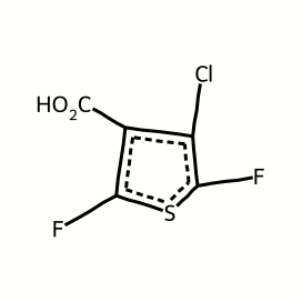 O=C(O)c1c(F)sc(F)c1Cl